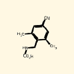 Cc1cc(C#N)cc(C)c1CNC(=O)O